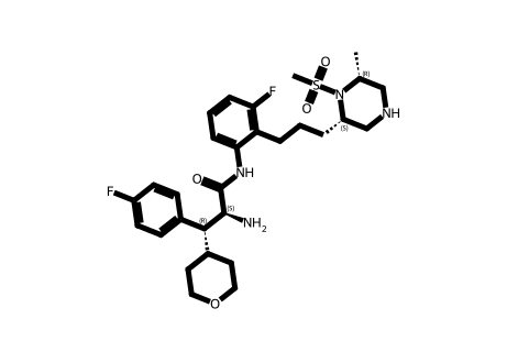 C[C@@H]1CNC[C@H](CCCc2c(F)cccc2NC(=O)[C@@H](N)[C@@H](c2ccc(F)cc2)C2CCOCC2)N1S(C)(=O)=O